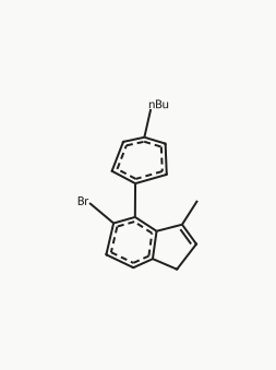 CCCCc1ccc(-c2c(Br)ccc3c2C(C)=CC3)cc1